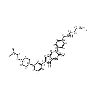 CN(C)CCN1CCN(c2cccc(-c3cc4cn(-c5ccc(CNCCCN)cc5)c(=O)nc4[nH]3)c2)CC1